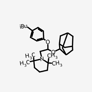 CCC(C)c1ccc(OC(CN2C(C)(C)CCCC2(C)C)OC2C3CC4CC(C3)CC2C4)cc1